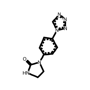 O=C1NCCN1c1ccc(-n2cnnn2)cc1